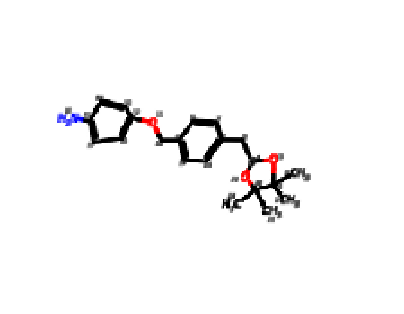 CC1(C)OB(Cc2ccc(COc3ccc(N)cc3)cc2)OC1(C)C